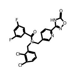 O=C(c1cc(F)cc(F)c1)N(Cc1ccc(-c2noc(=O)[nH]2)nc1)Cc1cccc(Cl)c1Cl